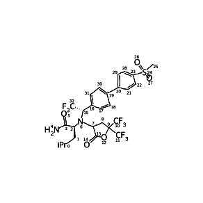 CC(C)C[C@@H](C(N)=O)N(C1CC(C(F)(F)F)(C(F)(F)F)OC1=O)[C@@H](c1ccc(-c2ccc(S(C)(=O)=O)cc2)cc1)C(F)(F)F